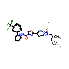 CCC(C)CNC(=S)N1CCC(c2nc(C(=O)Nc3ccccc3-c3cccc(C(F)(F)F)c3)cs2)CC1